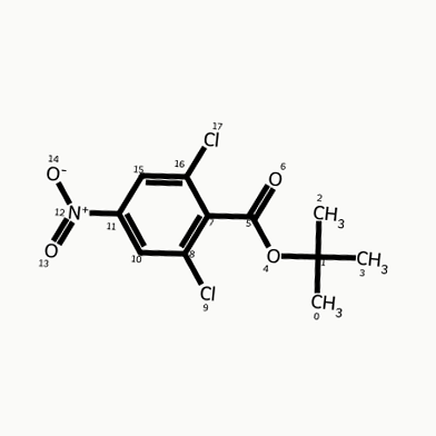 CC(C)(C)OC(=O)c1c(Cl)cc([N+](=O)[O-])cc1Cl